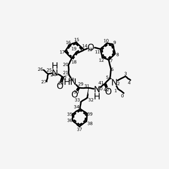 CCN(CC)[C@H]1Cc2cccc(c2)Oc2cccc(c2)C[C@@H](C(=O)NC(C)C)NC(=O)[C@H](CCc2ccccc2)NC1=O